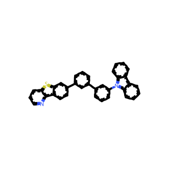 c1cc(-c2cccc(-n3c4ccccc4c4ccccc43)c2)cc(-c2ccc3c(c2)sc2cccnc23)c1